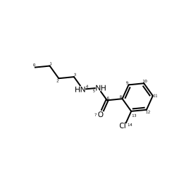 CCCCNNC(=O)c1ccccc1Cl